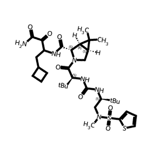 CN(C[C@@H](NC(=O)N[C@H](C(=O)N1C[C@H]2[C@@H]([C@H]1C(=O)NC(CC1CCC1)C(=O)C(N)=O)C2(C)C)C(C)(C)C)C(C)(C)C)S(=O)(=O)c1cccs1